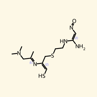 C/C(CN(C)C)=N\C(=C/S)CSCCN/C(N)=C\N=O